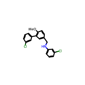 COc1ccc(CNc2cccc(Cl)c2)cc1-c1cccc(Cl)c1